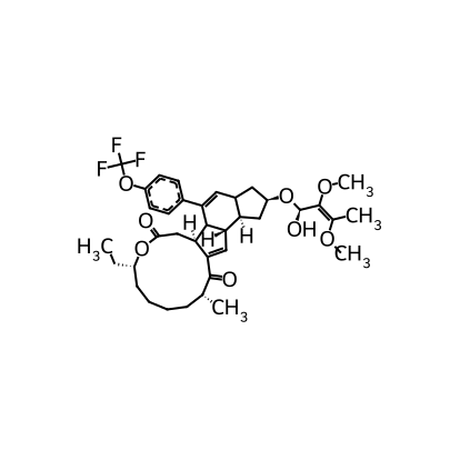 CC[C@H]1CCCC[C@@H](C)C(=O)C2=C[C@@H]3C(C(c4ccc(OC(F)(F)F)cc4)=CC4C[C@@H](O[C@H](O)/C(OC)=C(/C)OC)C[C@H]43)[C@@H]2CC(=O)O1